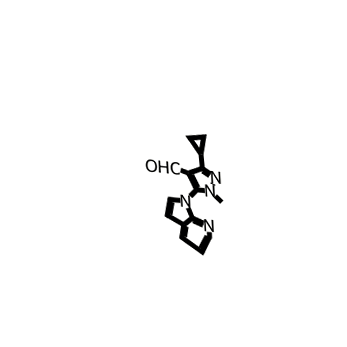 Cn1nc(C2CC2)c(C=O)c1-n1ccc2cccnc21